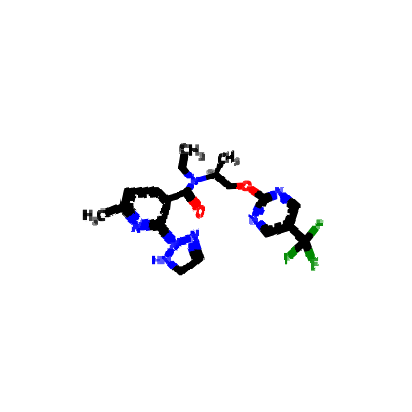 CCN(C(=O)c1ccc(C)nc1N1N=CCN1)[C@@H](C)COc1ncc(C(F)(F)F)cn1